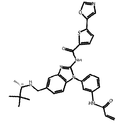 C=CC(=O)Nc1cccc(-n2c(NC(=O)c3ccc(-c4cnco4)s3)nc3cc(CN[C@@H](C)C(C)(C)C)ccc32)c1